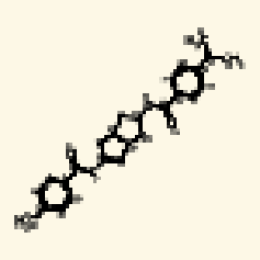 Cc1ccc(C(=O)OC2CC3CC(OC(=O)c4ccc(C(C)C)cc4)CC3C2)cc1